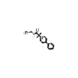 CC(C)CNC(=O)C(C)(C)N1CC=C(c2ccccc2)CC1